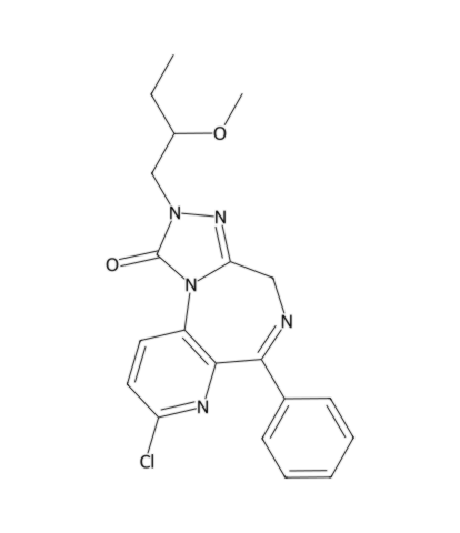 CCC(Cn1nc2n(c1=O)-c1ccc(Cl)nc1C(c1ccccc1)=NC2)OC